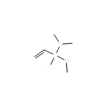 C=C[Si](Cl)(NC)N(C)C